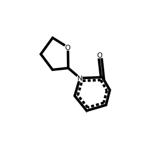 O=c1cc[c]cn1C1CCCO1